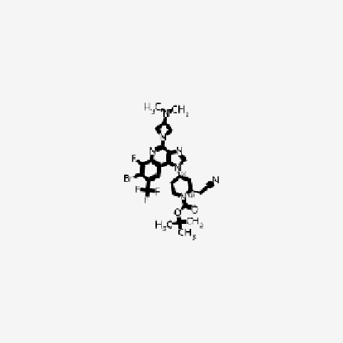 CN(C)C1CN(c2nc3c(F)c(Br)c(C(F)(F)F)cc3c3c2ncn3[C@H]2CCN(C(=O)OC(C)(C)C)[C@H](CC#N)C2)C1